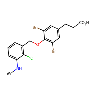 CC(C)Nc1cccc(COc2c(Br)cc(CCC(=O)O)cc2Br)c1Cl